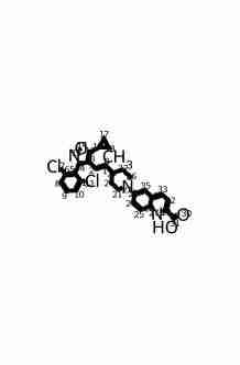 CC(=Cc1c(-c2c(Cl)cccc2Cl)noc1C1CC1)C1CCN(c2ccc3nc(C(=O)O)ccc3c2)CC1